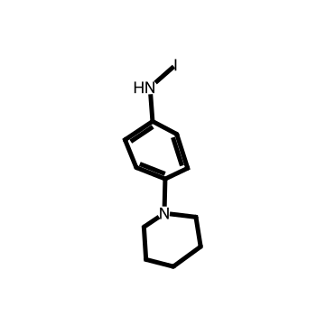 INc1ccc(N2CCCCC2)cc1